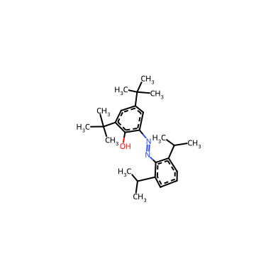 CC(C)c1cccc(C(C)C)c1N=Nc1cc(C(C)(C)C)cc(C(C)(C)C)c1O